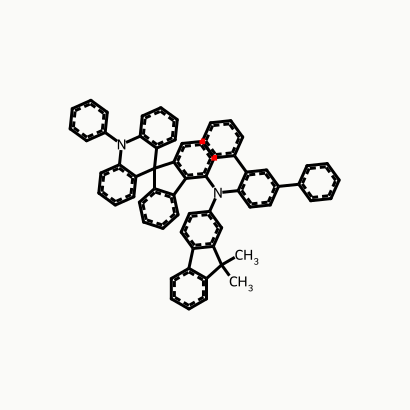 CC1(C)c2ccccc2-c2ccc(N(c3ccc(-c4ccccc4)cc3-c3ccccc3)c3cccc4c3-c3ccccc3C43c4ccccc4N(c4ccccc4)c4ccccc43)cc21